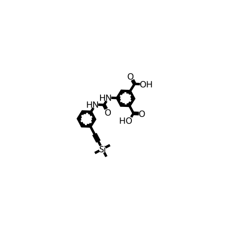 C[Si](C)(C)C#Cc1cccc(NC(=O)Nc2cc(C(=O)O)cc(C(=O)O)c2)c1